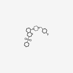 O=S(=O)(c1ccccc1)c1cnc2c(N3CCN(Cc4ccc(F)cc4)CC3)cccc2c1